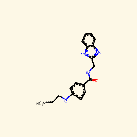 O=C(O)CCNc1ccc(C(=O)NCc2nc3ccccc3[nH]2)cc1